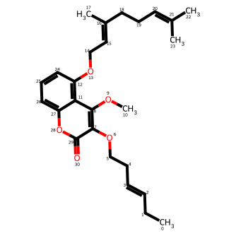 CCC=CCCOc1c(OC)c2c(OC/C=C(\C)CCC=C(C)C)cccc2oc1=O